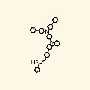 S/C(=C\C=C\c1ccc(-c2ccc3c(c2)c2ccccc2n3-c2ccc(N(c3ccc(-c4ccccc4)cc3)c3ccc(-c4ccccc4)cc3)cc2)cc1)c1ccccc1